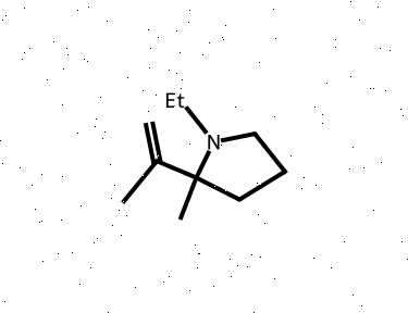 C=C(C)C1(C)CCCN1CC